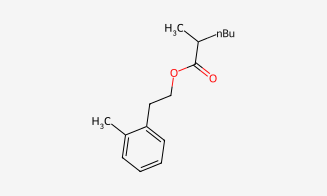 CCCCC(C)C(=O)OCCc1ccccc1C